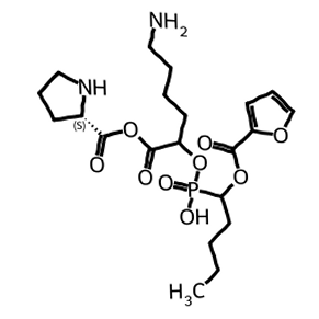 CCCCC(OC(=O)c1ccco1)P(=O)(O)OC(CCCCN)C(=O)OC(=O)[C@@H]1CCCN1